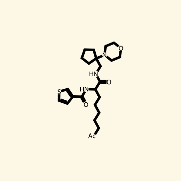 CC(=O)CCCCCC(NC(=O)c1ccsc1)C(=O)NCC1(N2CCOCC2)CCCC1